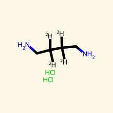 Cl.Cl.[2H]C([2H])(CN)C([2H])([2H])CN